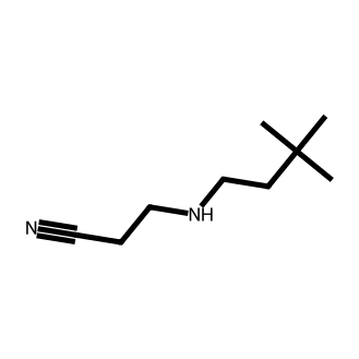 CC(C)(C)CCNCCC#N